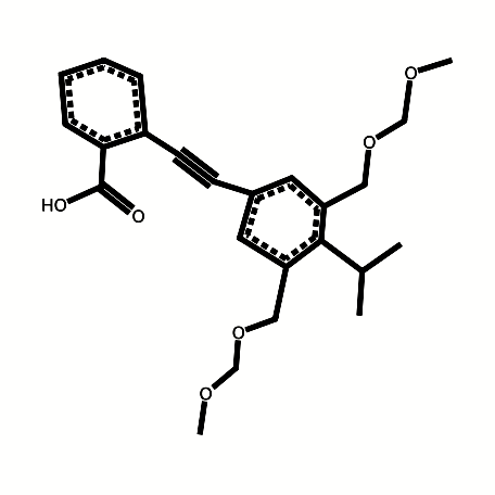 COCOCc1cc(C#Cc2ccccc2C(=O)O)cc(COCOC)c1C(C)C